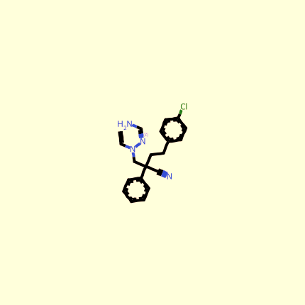 C=CN(CC(C#N)(CCc1ccc(Cl)cc1)c1ccccc1)/N=C\N